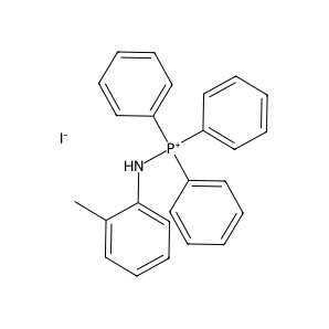 Cc1ccccc1N[P+](c1ccccc1)(c1ccccc1)c1ccccc1.[I-]